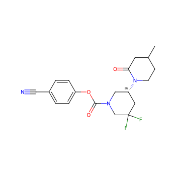 CC1CCN([C@H]2CN(C(=O)Oc3ccc(C#N)cc3)CC(F)(F)C2)C(=O)C1